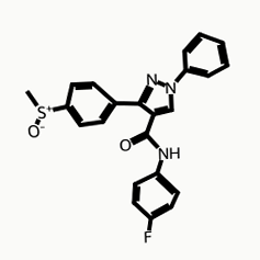 C[S+]([O-])c1ccc(-c2nn(-c3ccccc3)cc2C(=O)Nc2ccc(F)cc2)cc1